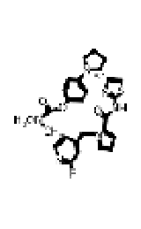 CN(C)C(=O)Oc1ccc(N2CCC[C@@H]2c2csc(NC(=O)c3cccn3Cc3ccnc(F)c3)n2)cc1